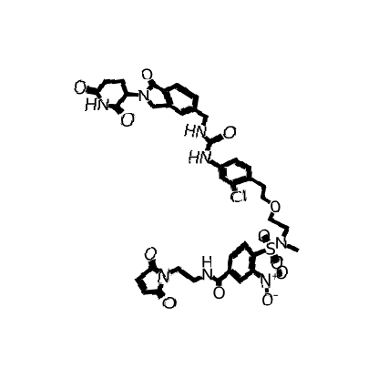 CN(CCOCCc1ccc(NC(=O)NCc2ccc3c(c2)CN(C2CCC(=O)NC2=O)C3=O)cc1Cl)S(=O)(=O)c1ccc(C(=O)NCCN2C(=O)C=CC2=O)cc1[N+](=O)[O-]